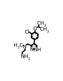 CC(C)Oc1ccc(-c2c[nH]nc2CN(C)CCN)cc1Cl